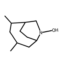 CC1CC(C)C2CCC(C1)N(O)C2